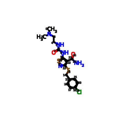 CN(C)CCNC(=O)Nc1snc(SCc2ccc(Cl)cc2)c1C(N)=O